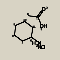 CC(=O)O.Cl.NC1CCCCC1